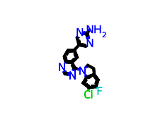 Nc1ncc(-c2ccc3ncnc(N4CCc5cc(F)c(Cl)cc54)c3c2)cn1